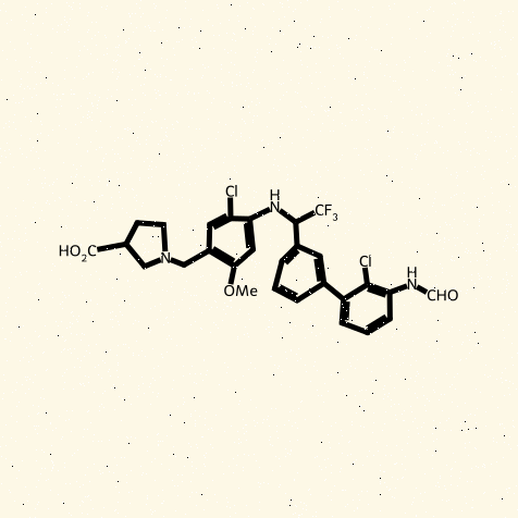 COc1cc(NC(c2cccc(-c3cccc(NC=O)c3Cl)c2)C(F)(F)F)c(Cl)cc1CN1CCC(C(=O)O)C1